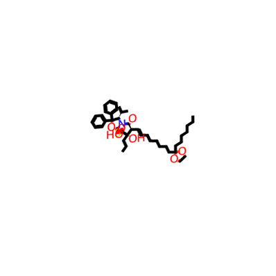 CCCCCCCC1(CCCCCC/C=C/[C@H](C(=O)N2C(=S)OC(c3ccccc3)(c3ccccc3)[C@@H]2C(C)C)[C@@](O)(CCC)C(=O)O)OCCO1